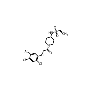 C=CS(=O)(=O)NC1CCN(C(=O)COc2cc(C(C)=O)c(Cl)cc2Cl)CC1